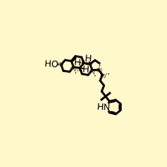 C[C@H](CCCC(C)(C)C1=CC=CC=CN1)[C@H]1CC[C@H]2[C@@H]3CC=C4C[C@@H](O)CC[C@]4(C)[C@H]3CC[C@]12C